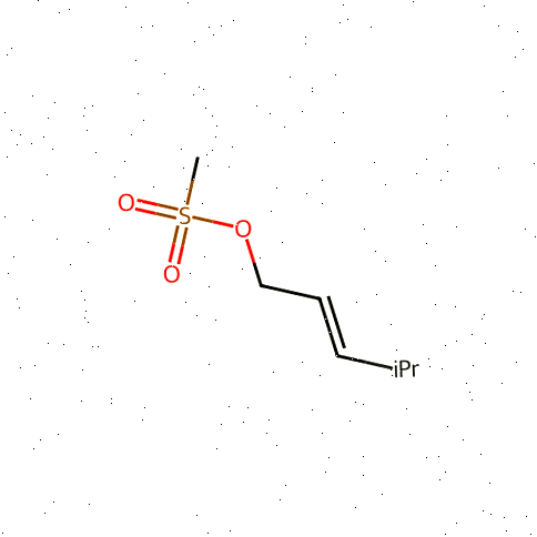 CC(C)C=CCOS(C)(=O)=O